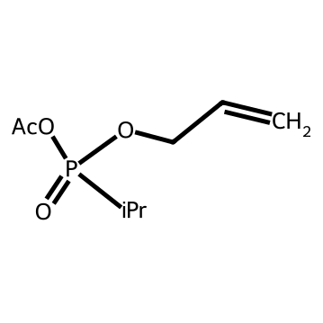 C=CCOP(=O)(OC(C)=O)C(C)C